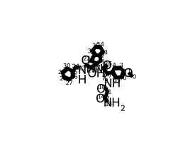 COc1ccc([C@H](CNC(=O)CC(N)=O)C(=O)NC2(C(O)C(=O)NCc3ccccc3)Cc3ccccc3C2)cc1